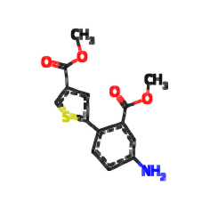 COC(=O)c1csc(-c2ccc(N)cc2C(=O)OC)c1